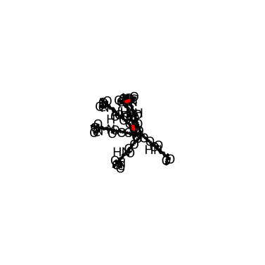 CCOC(=O)C(C)CCCCNC(=O)OCCOCCOCC(COCCOCCOC(=O)NCCCCC(N=C=O)C(=O)OCC)(COCCOCCOC(=O)NCCCCC(N=C=O)C(=O)OCC)COCC(COCCOCCOCCOC(=O)NCCCCC(N=C=O)C(=O)OCC)(COCCOCCOC(=O)NCCCCC(N=C=O)C(=O)OCC)COCCOCCOC(=O)NCCCCC(N=C=O)C(=O)OCC